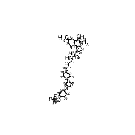 Cc1ccc(N2C(=O)CSC2NC(=O)NCCCCc2ccc(-c3ncn(-c4ccc(OC(F)(F)F)cc4)n3)cc2)c(C(C)C)c1